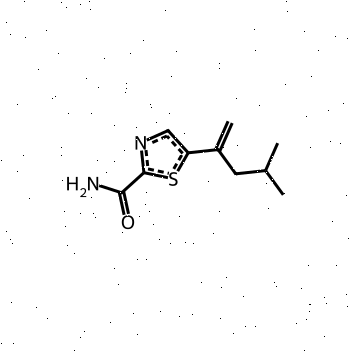 C=C(CC(C)C)c1cnc(C(N)=O)s1